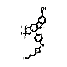 C#Cc1ccc2[nH]c3c(c2c1)C[C@@H](C)N(CC(F)(F)F)[C@@H]3c1ccc(NC2CN(CCCF)C2)cn1